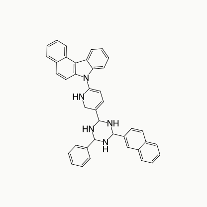 C1=C(C2NC(c3ccccc3)NC(c3ccc4ccccc4c3)N2)CNC(n2c3ccccc3c3c4ccccc4ccc32)=C1